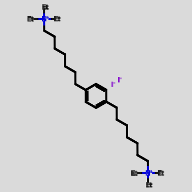 CC[N+](CC)(CC)CCCCCCCc1ccc(CCCCCCC[N+](CC)(CC)CC)cc1.[I-].[I-]